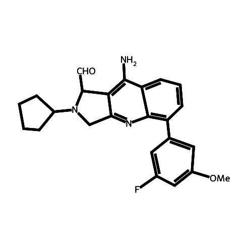 COc1cc(F)cc(-c2cccc3c(N)c4c(nc23)CN(C2CCCC2)C4C=O)c1